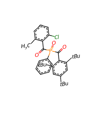 Cc1cccc(Cl)c1C(=O)P(=O)(C(=O)c1c(C(C)(C)C)cc(C(C)(C)C)cc1C(C)(C)C)c1ccccc1